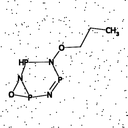 CCCOn1pnp2on2[pH]1